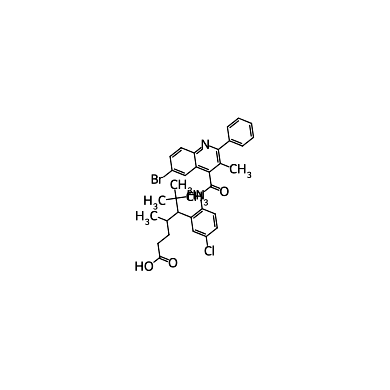 Cc1c(-c2ccccc2)nc2ccc(Br)cc2c1C(=O)Nc1ccc(Cl)cc1C(C(C)CCC(=O)O)C(C)(C)C